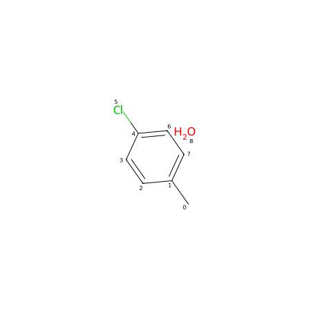 Cc1ccc(Cl)cc1.O